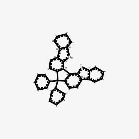 c1ccc(C2(c3ccccc3)c3ccc4c(oc5ccccc54)c3-c3c2ccc2c3oc3ccccc32)cc1